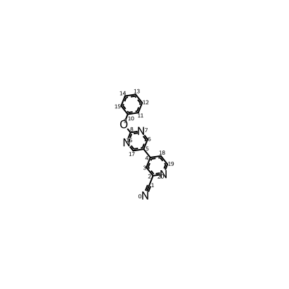 N#Cc1cc(-c2cnc(Oc3ccccc3)nc2)ccn1